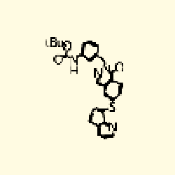 CC(C)(C)OC(=O)Nc1cccc(Cn2ncc3cc(Sc4cccc5cccnc45)ccc3c2=O)c1